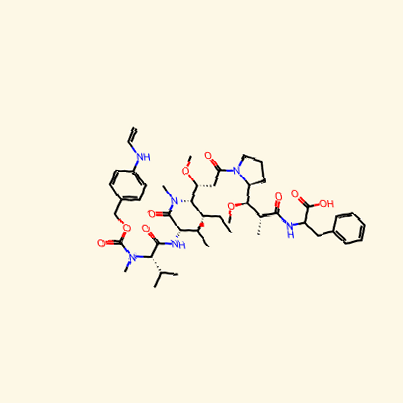 C=CNc1ccc(COC(=O)N(C)[C@H](C(=O)N[C@H](C(=O)N(C)[C@@H]([C@@H](C)CC)[C@@H](CC(=O)N2CCC[C@H]2[C@H](OC)[C@@H](C)C(=O)NC(Cc2ccccc2)C(=O)O)OC)C(C)C)C(C)C)cc1